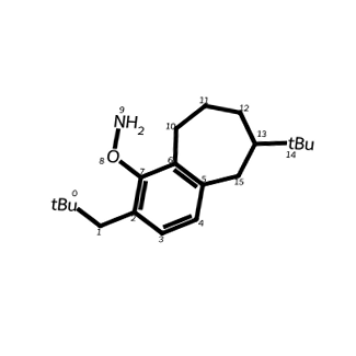 CC(C)(C)Cc1ccc2c(c1ON)CCCC(C(C)(C)C)C2